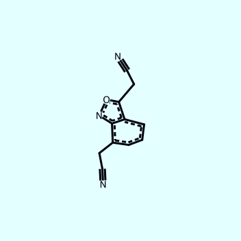 N#CCc1onc2c(CC#N)cccc12